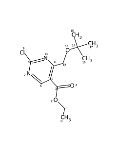 CCOC(=O)c1cnc(Cl)nc1COC(C)(C)C